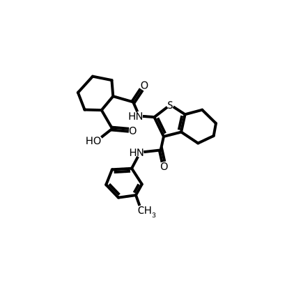 Cc1cccc(NC(=O)c2c(NC(=O)C3CCCCC3C(=O)O)sc3c2CCCC3)c1